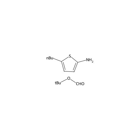 CC(C)(C)OC=O.CCCCc1ccc(N)s1